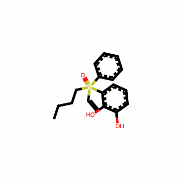 C=CS(=O)(CCCC)(c1ccccc1)c1cccc(O)c1O